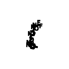 Cc1ccc2nnc(OCc3ccc(-c4nnc(C(F)F)o4)cn3)n2c1